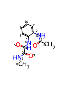 CNC(=O)C(=O)Nc1ccccc1NC(C)=O